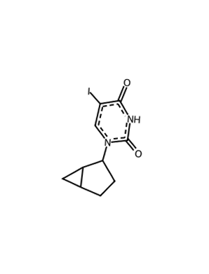 O=c1[nH]c(=O)n(C2CCC3CC32)cc1I